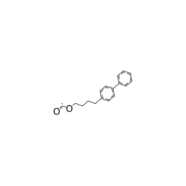 O=[C]OCCCCc1ccc(-c2ccccc2)cc1